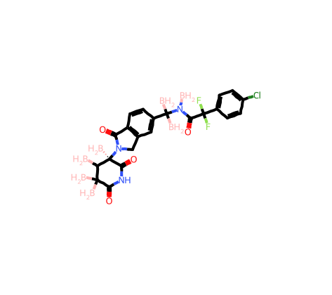 BC1C(B)(B)C(=O)NC(=O)[C@]1(B)N1Cc2cc(C(B)(B)N(B)C(=O)C(F)(F)c3ccc(Cl)cc3)ccc2C1=O